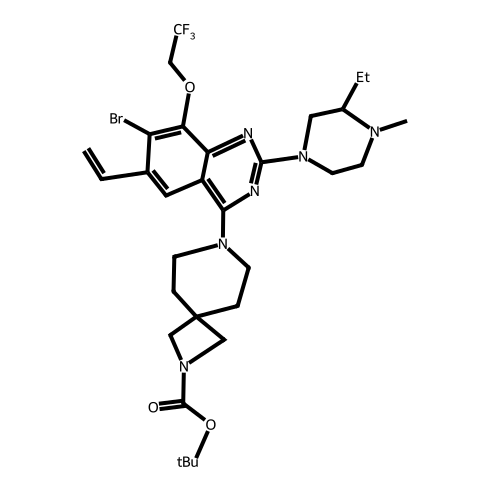 C=Cc1cc2c(N3CCC4(CC3)CN(C(=O)OC(C)(C)C)C4)nc(N3CCN(C)C(CC)C3)nc2c(OCC(F)(F)F)c1Br